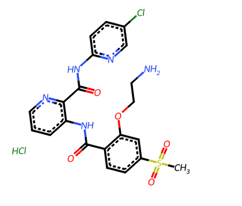 CS(=O)(=O)c1ccc(C(=O)Nc2cccnc2C(=O)Nc2ccc(Cl)cn2)c(OCCN)c1.Cl